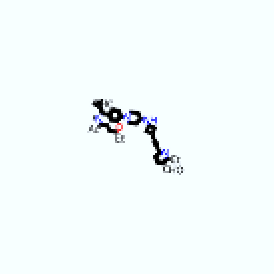 CCC(=O)CCC(C(C)=O)N(C)C(=C1CC1)c1ccc(N2CCC(NC3CC(C#Cc4ccc(C=O)c(CC)n4)C3)CC2)cc1C=O